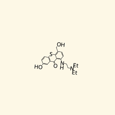 CCN(CC)CCNc1ccc(CO)c2sc3ccc(O)cc3c(=O)c12